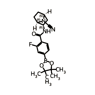 CC1(C)OB(c2ccc(C(=O)N[C@@H]3C[C@@H]4CC[C@H]3N4C#N)c(F)c2)OC1(C)C